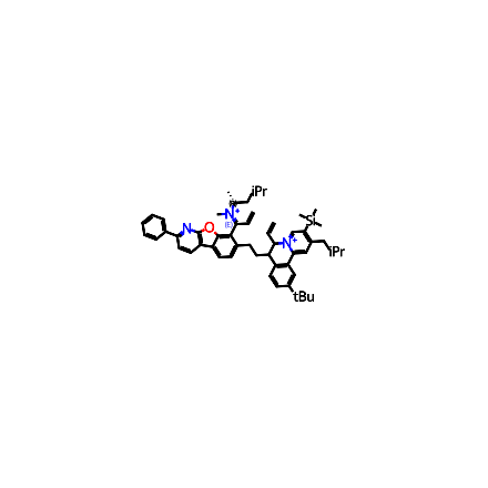 C=C/C(c1c(CCC2c3ccc(C(C)(C)C)cc3-c3cc(CC(C)C)c([Si](C)(C)C)c[n+]3C2C=C)ccc2c1oc1nc(-c3ccccc3)ccc12)=[N+](/C)[C@H](C)CC(C)C